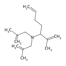 C=CCCC(C(=C)C)N(CC(=C)C)CC(=C)C